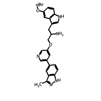 CCCCOc1ccc2[nH]cc(CC(N)COc3cncc(-c4ccc5[nH]nc(C)c5c4)c3)c2c1